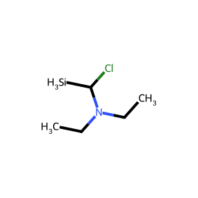 CCN(CC)C([SiH3])Cl